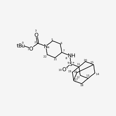 CC(C)(C)OC(=O)N1CCC(N[S+]([O-])C23CC4CC(CC(C4)C2)C3)CC1